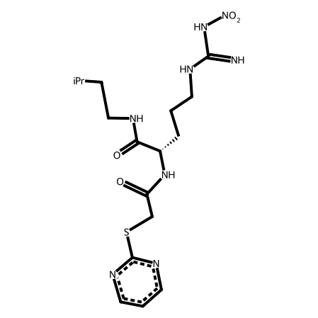 CC(C)CCNC(=O)[C@H](CCCNC(=N)N[N+](=O)[O-])NC(=O)CSc1ncccn1